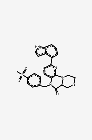 CS(=O)(=O)c1ccc(CN2C(=O)C3COCCN3c3nc(-c4cccc5[nH]ccc45)ncc32)cc1